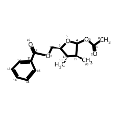 CC(=O)OC1O[C@H](COC(=O)c2ccccc2)[C@@H](C)[C@@H]1C